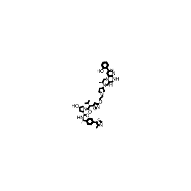 Cc1ncsc1-c1ccc([C@H](C)NC(=O)[C@@H]2C[C@@H](O)CN2C(=O)[C@@H](c2cc(OCCN3CCC(N4C[C@@H]5CNc6nnc(-c7ccccc7O)cc6N5C[C@@H]4C)C3)no2)C(C)C)cc1